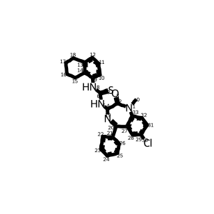 CN1C(=O)C(NC(=S)Nc2cccc3c2CCCC3)N=C(c2ccccc2)c2cc(Cl)ccc21